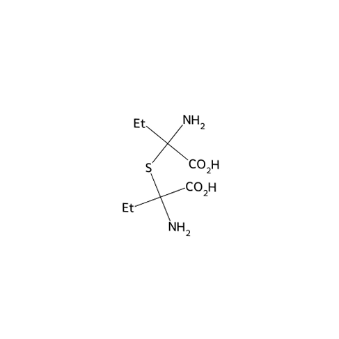 CCC(N)(SC(N)(CC)C(=O)O)C(=O)O